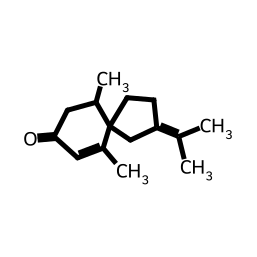 CC1=CC(=O)CC(C)C12CCC(=C(C)C)C2